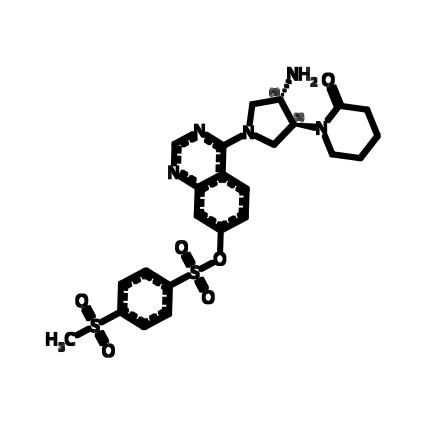 CS(=O)(=O)c1ccc(S(=O)(=O)Oc2ccc3c(N4C[C@H](N)[C@@H](N5CCCCC5=O)C4)ncnc3c2)cc1